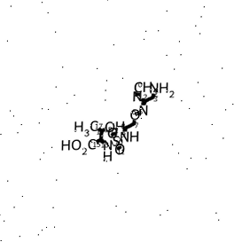 C=N/C(CN)=N\OCCNS(=O)(=O)NC(C(=O)O)C(C)O